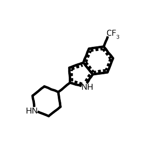 FC(F)(F)c1ccc2[nH]c(C3CCNCC3)cc2c1